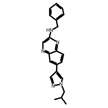 C[C](C)Cn1cc(-c2ccc3nc(NCc4ccccc4)cnc3c2)cn1